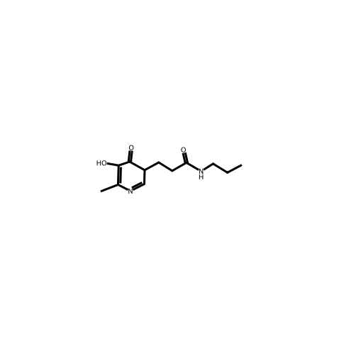 CCCNC(=O)CCC1C=NC(C)=C(O)C1=O